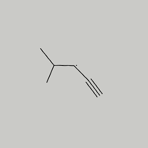 C#C[CH]C(C)C